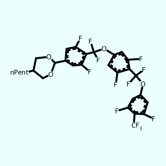 CCCCCC1COC(c2cc(F)c(C(F)(F)Oc3cc(F)c(C(F)(F)Oc4cc(F)c(C(F)(F)F)c(F)c4)c(F)c3)c(F)c2)OC1